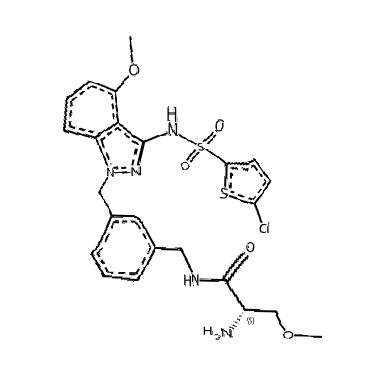 COC[C@H](N)C(=O)NCc1cccc(Cn2nc(NS(=O)(=O)c3ccc(Cl)s3)c3c(OC)cccc32)c1